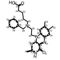 C=c1nc2c(c(=O)[nH]1)=Nc1cc(C)c(C)cc1N2CCN(CCCCC(=O)O)Cc1ccccc1